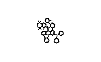 Cc1c(Nc2c(-c3cc(N(c4ccccc4)c4ccccc4)cc4c3Bc3cccc5c6ccccc6n-4c35)ccc3oc4ccccc4c23)ccc2c1C(C)(C)CCC2(C)C